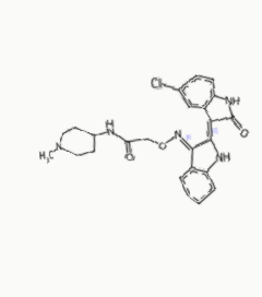 CN1CCC(NC(=O)CO/N=C2/C(=C3/C(=O)Nc4ccc(Cl)cc43)Nc3ccccc32)CC1